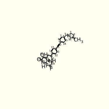 C[C@H]1CCN(Cc2ccc(C#Cc3ccc(C(CNCC(F)F)Cc4nc[nH]c(=O)c4O)cc3)cc2)C1